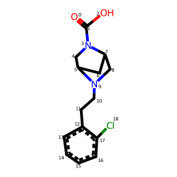 O=C(O)N1CC2CC1CN2CCc1ccccc1Cl